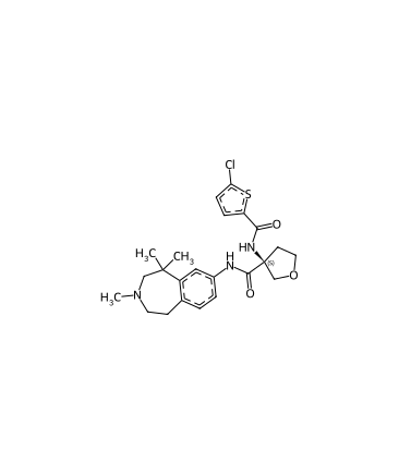 CN1CCc2ccc(NC(=O)[C@]3(NC(=O)c4ccc(Cl)s4)CCOC3)cc2C(C)(C)C1